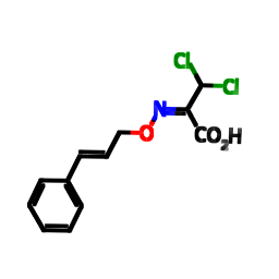 O=C(O)/C(=N\OC/C=C/c1ccccc1)C(Cl)Cl